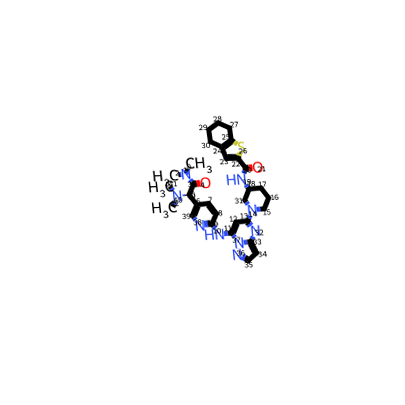 CN(C)C(=O)[C@H](c1ccc(Nc2cc(N3CCCC(NC(=O)c4cc5c(s4)CCCC5)C3)nc3ccnn23)nc1)N(C)C